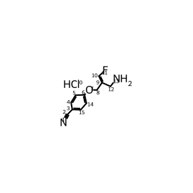 Cl.N#Cc1ccc(OCC(=CF)CN)cc1